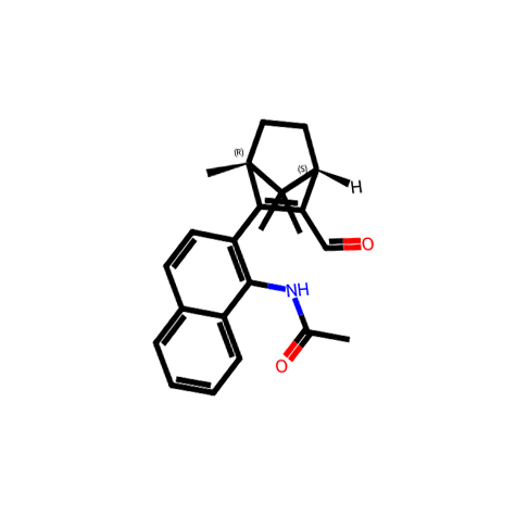 CC(=O)Nc1c(C2=C(C=O)[C@H]3CC[C@]2(C)C3(C)C)ccc2ccccc12